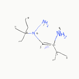 CC(C)/C(N)=C/N(N)C(C)(C)C